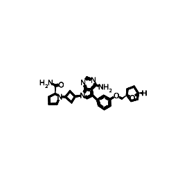 NC(=O)[C@@H]1CCCN1C1CC(n2cc(-c3cccc(OC[C@]45CC[C@H](CC4)O5)c3)c3c(N)ncnc32)C1